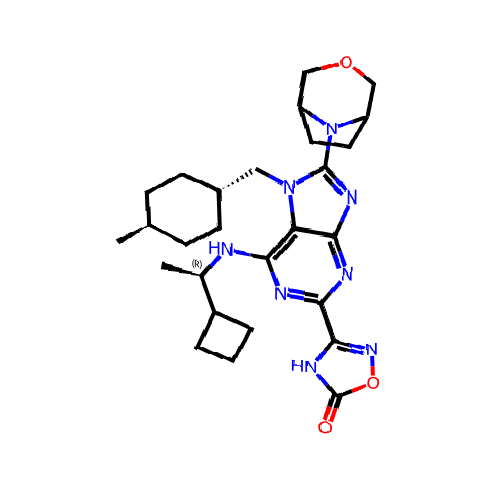 C[C@@H](Nc1nc(-c2noc(=O)[nH]2)nc2nc(N3C4CCC3COC4)n(C[C@H]3CC[C@H](C)CC3)c12)C1CCC1